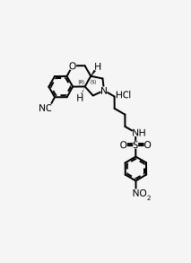 Cl.N#Cc1ccc2c(c1)[C@@H]1CN(CCCCNS(=O)(=O)c3ccc([N+](=O)[O-])cc3)C[C@H]1CO2